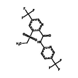 CCS(=O)(=O)c1cc(C(F)(F)F)cnc1C(=O)Nc1ccc(C(F)(F)F)cn1